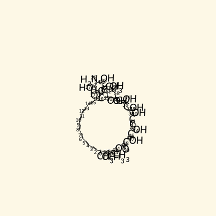 CC1/C=C/C=C/C=C/C=C/C=C/C=C/C=C/C(OC2OC(C)C(O)C(N)C2O)CC2OC(O)(CC(O)CC(O)C(O)CCC(O)CC(O)CC(=O)OC(C)C(C)C1O)CC(O)C2C